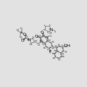 CN1CCC[C@H]1Cn1c(=O)c(=O)n(CC2CN(C(=O)OC(C)(C)C)C2)c2cc(F)c(-c3cc(O)cc4ccccc34)cc21